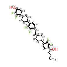 CCCC(O)c1ccc(C2CCC(CCc3ccc(C4CCC(c5ccc(O)c(F)c5F)CC4)c(F)c3F)CC2)c(F)c1F